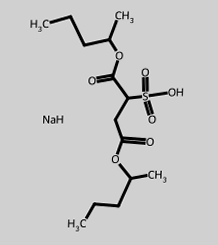 CCCC(C)OC(=O)CC(C(=O)OC(C)CCC)S(=O)(=O)O.[NaH]